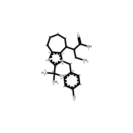 CCC(C(=O)O)C1CCCCc2nc(C(C)(C)C)n(Cc3ccc(Cl)cc3)c21